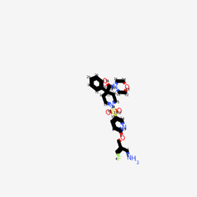 NC/C(=C\F)COc1ccc(S(=O)(=O)N2CCC(C(=O)N3CCOCC3)(c3ccccc3)CC2)cn1